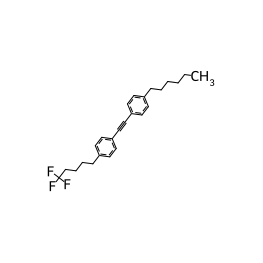 CCCCCCc1ccc(C#Cc2ccc(CCCCC(F)(F)F)cc2)cc1